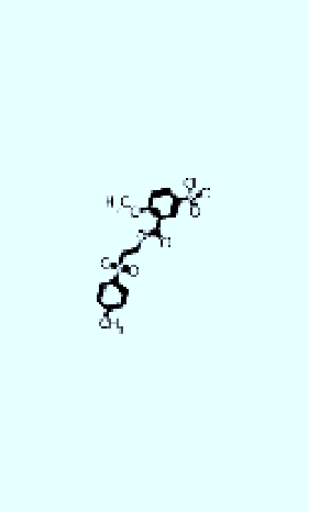 COc1ccc(S(=O)(=O)Cl)cc1C(=O)OCCS(=O)(=O)c1ccc(C)cc1